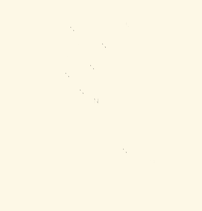 CCC(=O)N1CCC(c2ccn(-c3nc(N4CCOCC4)c4ncccc4n3)n2)CC1